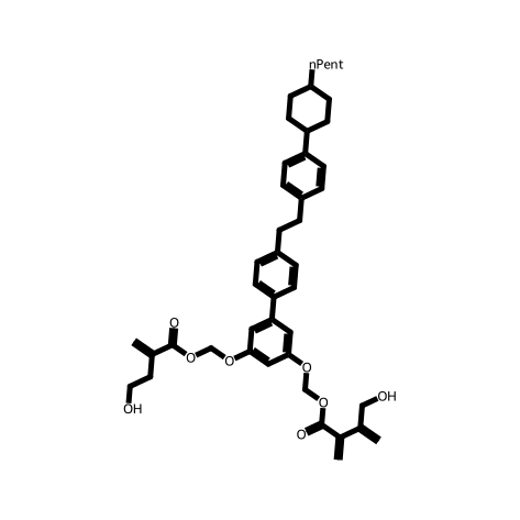 C=C(CO)C(=C)C(=O)OCOc1cc(OCOC(=O)C(=C)CCO)cc(-c2ccc(CCc3ccc(C4CCC(CCCCC)CC4)cc3)cc2)c1